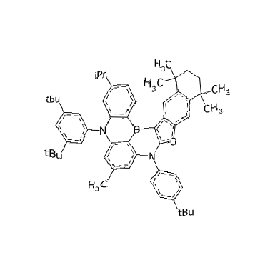 Cc1cc2c3c(c1)N(c1ccc(C(C)(C)C)cc1)c1oc4cc5c(cc4c1B3c1ccc(C(C)C)cc1N2c1cc(C(C)(C)C)cc(C(C)(C)C)c1)C(C)(C)CCC5(C)C